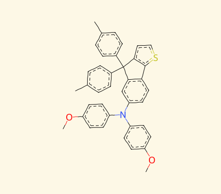 COc1ccc(N(c2ccc(OC)cc2)c2ccc3c(c2)C(c2ccc(C)cc2)(c2ccc(C)cc2)c2ccsc2-3)cc1